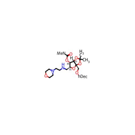 CCCCCCCCCCOC[C@@]12O[C@@H](CNCCN3CCOCC3)[C@@H](OC(=O)NC)[C@@H]1OC(C)(C)O2